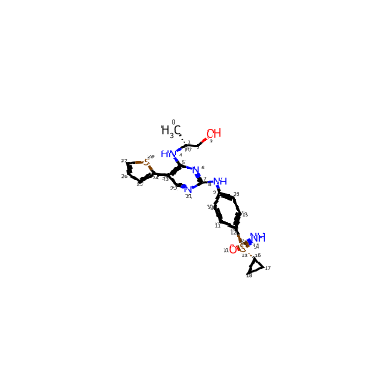 C[C@H](CO)Nc1nc(Nc2ccc([S@@](=N)(=O)C3CC3)cc2)ncc1-c1cccs1